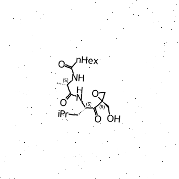 CCCCCCC(=O)N[C@@H](C)C(=O)N[C@@H](CC(C)C)C(=O)[C@@]1(CO)CO1